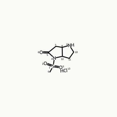 CS(=O)(=O)N1C(=O)CC2NCCC21.Cl